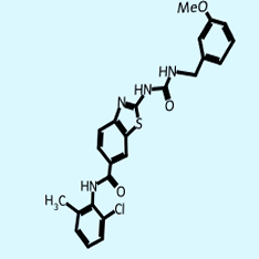 COc1cccc(CNC(=O)Nc2nc3ccc(C(=O)Nc4c(C)cccc4Cl)cc3s2)c1